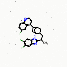 CC(CC1CC2CC1CC2c1ccnc2ccc(F)cc12)c1nc2cc(F)c(F)cc2[nH]1